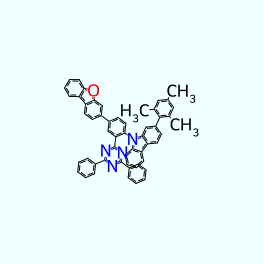 Cc1cc(C)c(-c2ccc3c4ccccc4n(-c4ccc(-c5ccc6c(c5)oc5ccccc56)cc4-c4nc(-c5ccccc5)nc(-c5ccccc5)n4)c3c2)c(C)c1